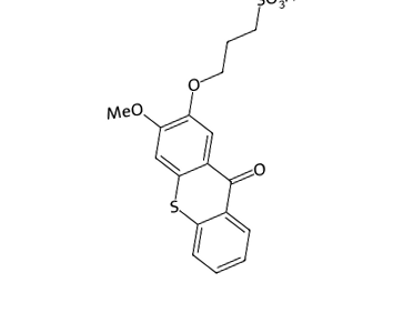 COc1cc2sc3ccccc3c(=O)c2cc1OCCCS(=O)(=O)O